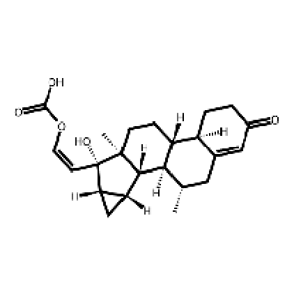 C[C@H]1CC2=CC(=O)CC[C@@H]2[C@H]2CC[C@@]3(C)[C@@H]([C@@H]4C[C@@H]4[C@@]3(O)/C=C\OC(=O)O)[C@@H]21